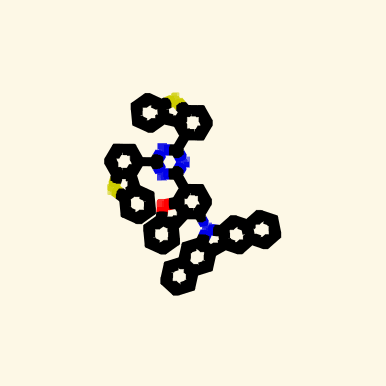 c1ccc2cc3c(cc2c1)c1cc2ccccc2cc1n3-c1ccc(-c2nc(-c3cccc4sc5ccccc5c34)nc(-c3cccc4sc5ccccc5c34)n2)c2oc3ccccc3c12